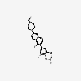 CCC1CCC(c2ccc3c(F)c(-c4cc(F)c(OC(F)F)c(F)c4)ccc3c2)CC1